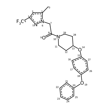 Cc1cc(C(F)(F)F)nn1CC(=O)N1CCC(Oc2ccc(Oc3ccccc3)cc2)CC1